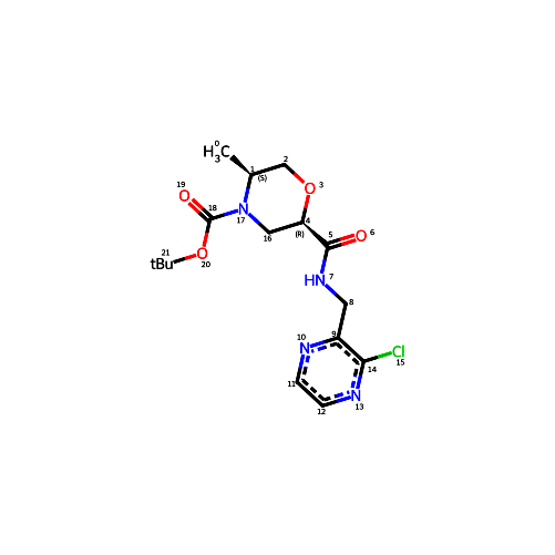 C[C@H]1CO[C@@H](C(=O)NCc2nccnc2Cl)CN1C(=O)OC(C)(C)C